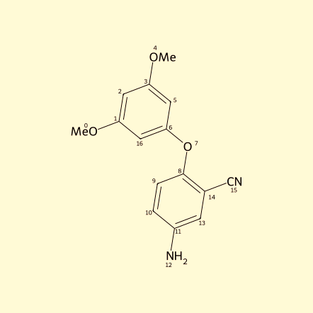 COc1cc(OC)cc(Oc2ccc(N)cc2C#N)c1